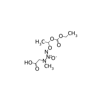 CCOC(=O)OC(C)ON=[N+]([O-])N(C)CC(=O)O